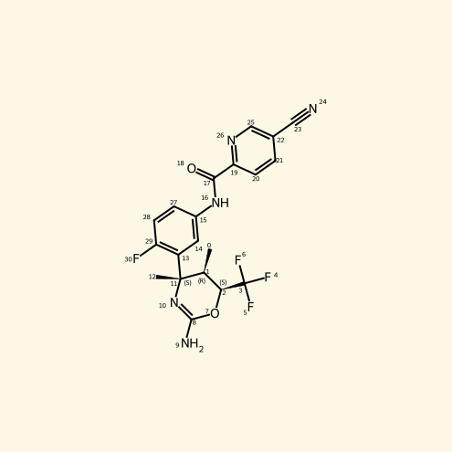 C[C@H]1[C@@H](C(F)(F)F)OC(N)=N[C@]1(C)c1cc(NC(=O)c2ccc(C#N)cn2)ccc1F